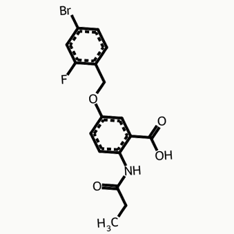 CCC(=O)Nc1ccc(OCc2ccc(Br)cc2F)cc1C(=O)O